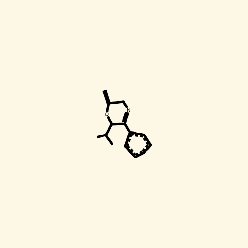 C=C1CN=C(c2ccccc2)C(C(C)C)O1